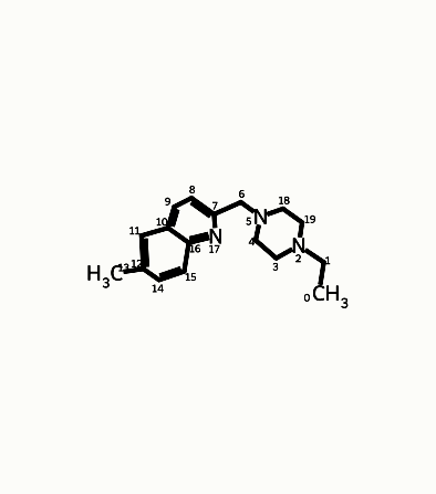 CCN1CCN(Cc2ccc3cc(C)ccc3n2)CC1